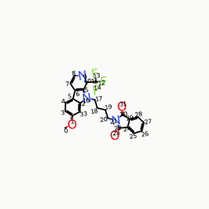 COc1ccc2c3ccnc(C(F)(F)F)c3n(CCCCN3C(=O)c4ccccc4C3=O)c2c1